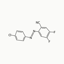 N#Cc1cc(F)c(F)cc1/N=N/c1ccc(Cl)cc1